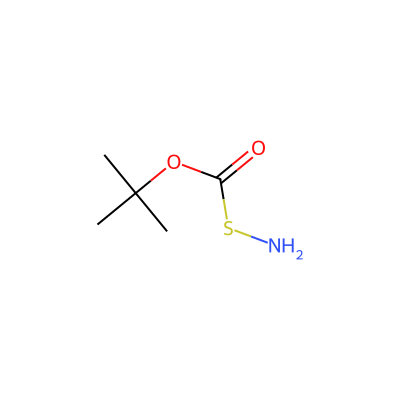 CC(C)(C)OC(=O)SN